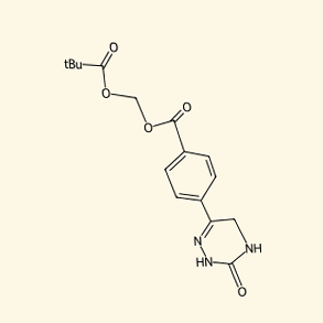 CC(C)(C)C(=O)OCOC(=O)c1ccc(C2=NNC(=O)NC2)cc1